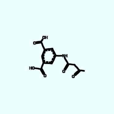 CC(=O)CC(=O)Nc1cc(C(=O)O)cc(C(=O)O)c1